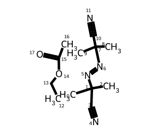 CC(C)(C#N)N=NC(C)(C)C#N.CCOC(C)=O